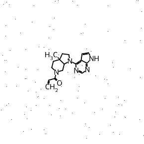 C=CC(=O)N1CC[C@]2(C)CCN(c3ncnc4[nH]ccc34)C2C1